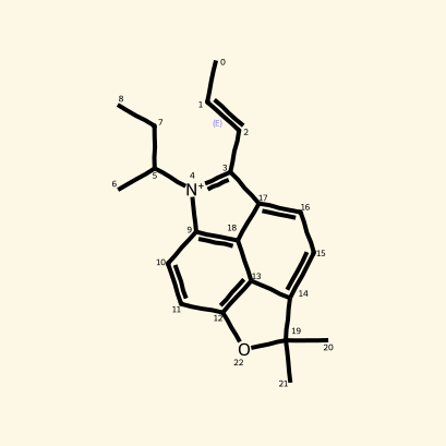 C/C=C/C1=[N+](C(C)CC)c2ccc3c4c(ccc1c24)C(C)(C)O3